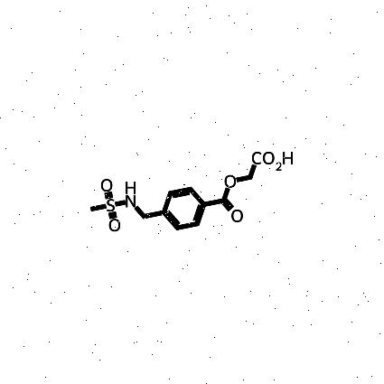 CS(=O)(=O)NCc1ccc(C(=O)OCC(=O)O)cc1